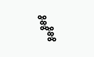 c1cc(-n2c3ccccc3c3cc4c(cc32)c2ccccc2n4-c2cccc3c(-n4c5ccccc5c5ccccc54)cccc23)c2cccc(-n3c4ccccc4c4ccccc43)c2c1